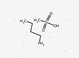 CCCCP.CS(=O)(=O)O